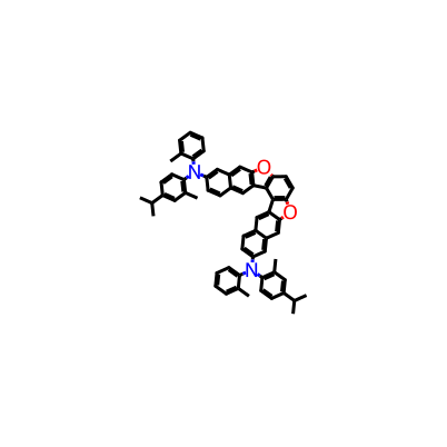 Cc1ccccc1N(c1ccc2cc3c(cc2c1)oc1ccc2oc4cc5cc(N(c6ccccc6C)c6ccc(C(C)C)cc6C)ccc5cc4c2c13)c1ccc(C(C)C)cc1C